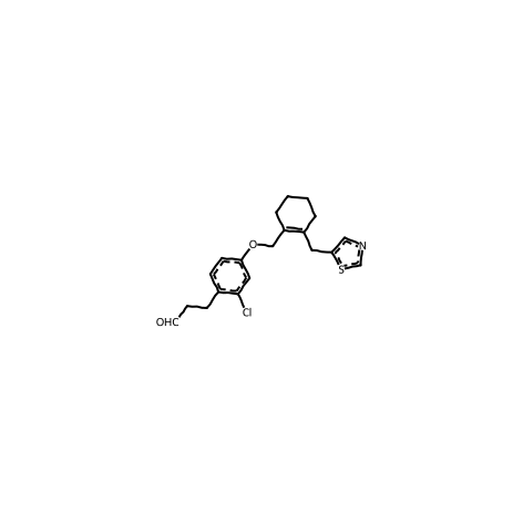 O=CCCc1ccc(OCC2=C(Cc3cncs3)CCCC2)cc1Cl